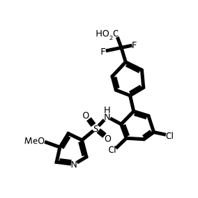 COc1cncc(S(=O)(=O)Nc2c(Cl)cc(Cl)cc2-c2ccc(C(F)(F)C(=O)O)cc2)c1